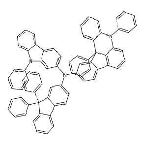 c1ccc(N2c3ccccc3C3(c4ccccc4)c4cc(N(c5ccc6c(c5)C(c5ccccc5)(c5ccccc5)c5ccccc5-6)c5ccc6c7ccccc7n(-c7ccccc7)c6c5)ccc4-c4cccc2c43)cc1